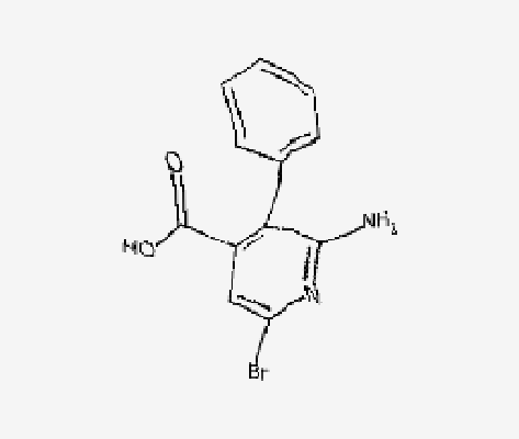 Nc1nc(Br)cc(C(=O)O)c1-c1ccccc1